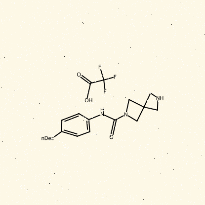 CCCCCCCCCCc1ccc(NC(=O)N2CC3(CNC3)C2)cc1.O=C(O)C(F)(F)F